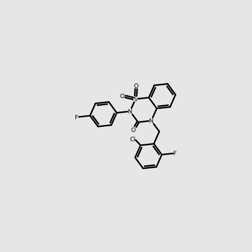 O=C1N(Cc2c(F)cccc2Cl)c2ccccc2S(=O)(=O)N1c1ccc(F)cc1